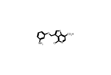 Nc1cccc(OCc2csc3c(C(=O)O)cnc(Cl)c23)c1